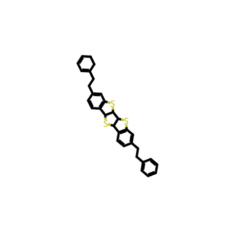 C1=CCCC(CCc2ccc3c(c2)SC2C3SC3c4ccc(CCc5ccccc5)cc4SC32)=C1